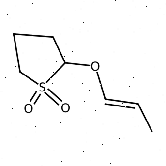 CC=COC1CCCS1(=O)=O